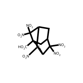 O=C(O)C12CC3CC(CC(N1[N+](=O)[O-])C3([N+](=O)[O-])[N+](=O)[O-])C2([N+](=O)[O-])[N+](=O)[O-]